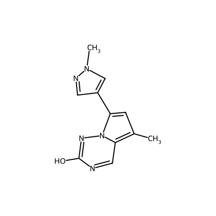 Cc1cc(-c2cnn(C)c2)n2nc(O)ncc12